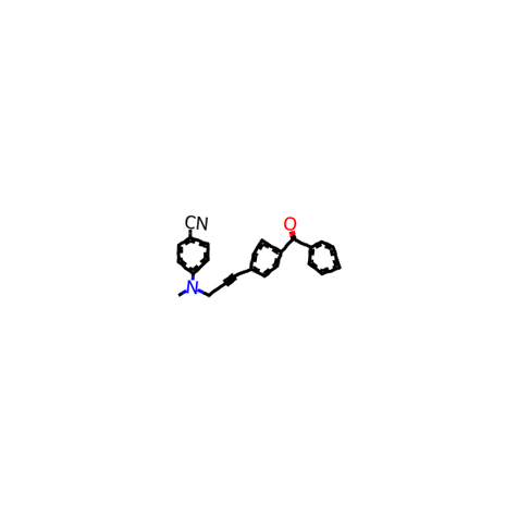 CN(CC#Cc1ccc(C(=O)c2ccccc2)cc1)c1ccc(C#N)cc1